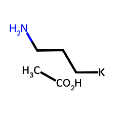 CC(=O)O.NCC[CH2][K]